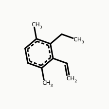 C=Cc1c(C)ccc(C)c1CC